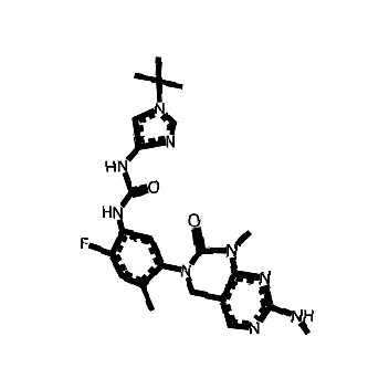 CNc1ncc2c(n1)N(C)C(=O)N(c1cc(NC(=O)Nc3cn(C(C)(C)C)cn3)c(F)cc1C)C2